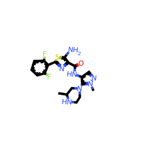 CC1CN(c2c(NC(=O)c3nc(-c4c(F)cccc4F)sc3N)cnn2C)CCN1